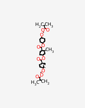 C=C(C)C(=O)OCOc1ccc(OC(=O)c2ccc(OC(=O)c3ccc(OCOC(=O)C(=C)C)cc3)cc2C)cc1